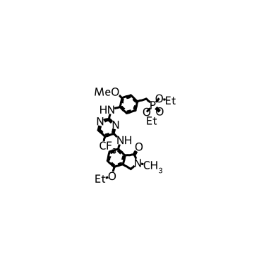 CCOc1ccc(Nc2nc(Nc3ccc(CP(=O)(OCC)OCC)cc3OC)ncc2C(F)(F)F)c2c1CN(C)C2=O